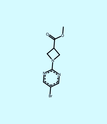 COC(=O)C1CN(c2ncc(Br)cn2)C1